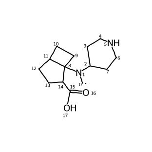 [CH2]N(C1CCNCC1)C12CCC1CCC2C(=O)O